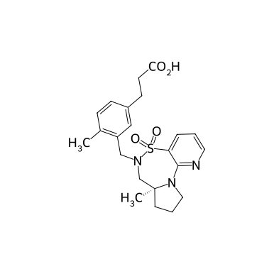 Cc1ccc(CCC(=O)O)cc1CN1C[C@]2(C)CCCN2c2ncccc2S1(=O)=O